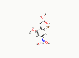 COC(=O)Cc1c(Br)cc([N+](=O)[O-])cc1OC